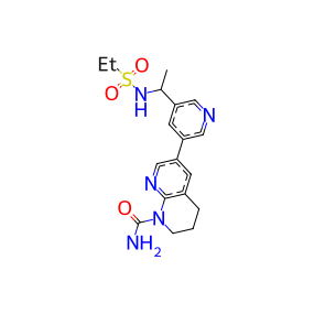 CCS(=O)(=O)NC(C)c1cncc(-c2cnc3c(c2)CCCN3C(N)=O)c1